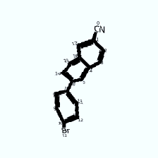 N#Cc1ccc2cc(-c3ccc(Br)cc3)ccc2c1